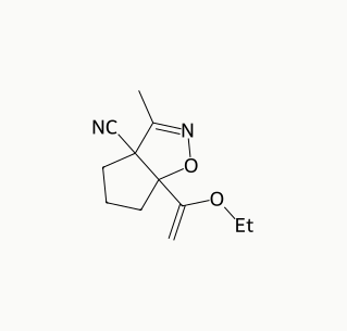 C=C(OCC)C12CCCC1(C#N)C(C)=NO2